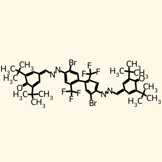 CC(C)(C)C1=CC(=C/N=N/c2cc(C(F)(F)F)c(-c3cc(Br)c(/N=N/C=C4C=C(C(C)(C)C)C(=O)C(C(C)(C)C)=C4)cc3C(F)(F)F)cc2Br)C=C(C(C)(C)C)C1=O